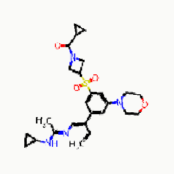 C=C/C(=C\N=C(/C)NC1CC1)c1cc(N2CCOCC2)cc(S(=O)(=O)C2CN(C(=O)C3CC3)C2)c1